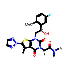 COc1ccc(F)cc1[C@@H](O)Cn1c(=O)n([C@@H](C)C(=O)N(C)C(C)C)c(=O)c2c(C)c(-n3nccn3)sc21